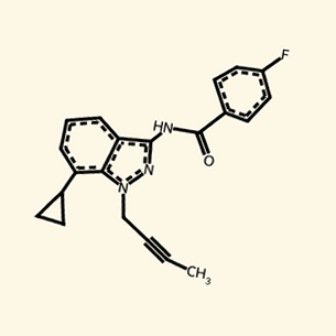 CC#CCn1nc(NC(=O)c2ccc(F)cc2)c2cccc(C3CC3)c21